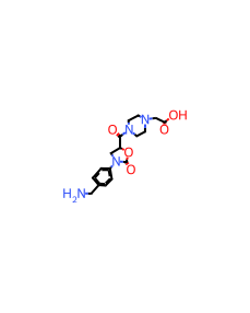 NCc1ccc(N2CC(C(=O)N3CCN(CC(=O)O)CC3)OC2=O)cc1